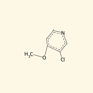 COc1c[c]ncc1Cl